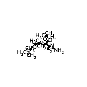 CC(C)(C)OC(=O)C(=NOC(C)(C)C(=O)OCC[Si](C)(C)C)c1csc(N)n1